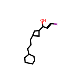 OC(C=CI)C1CC(CCCC2CCCCC2)C1